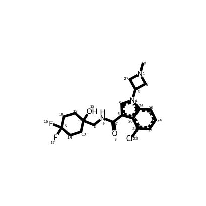 CN1CC(n2cc(C(=O)NCC3(O)CCC(F)(F)CC3)c3c(Cl)cccc32)C1